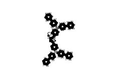 CSc1cc(-c2ccc(N(c3ccc(-c4ccccc4)cc3)c3ccc(-c4ccccc4)cc3)cc2)sc1-c1ccc(N(c2ccc(-c3ccccc3)cc2)c2ccc(-c3ccccc3)cc2)cc1